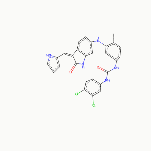 Cc1ccc(NC(=O)Nc2ccc(Cl)c(Cl)c2)cc1Nc1ccc2c(c1)NC(=O)C2=Cc1ccc[nH]1